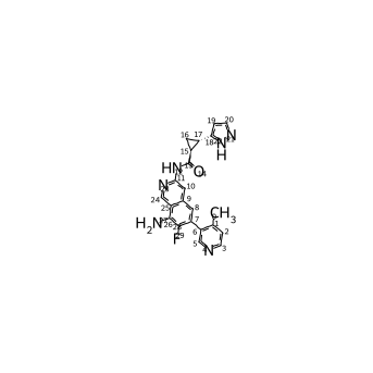 Cc1ccncc1-c1cc2cc(NC(=O)[C@H]3C[C@@H]3c3ccn[nH]3)ncc2c(N)c1F